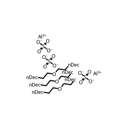 CCCCCCCCCCCCOCCCCCCCCCCCC.CCCCCCCCCCCCOCCCCCCCCCCCC.CCCCCCCCCCCCOCCCCCCCCCCCC.O=S(=O)([O-])[O-].O=S(=O)([O-])[O-].O=S(=O)([O-])[O-].[Al+3].[Al+3]